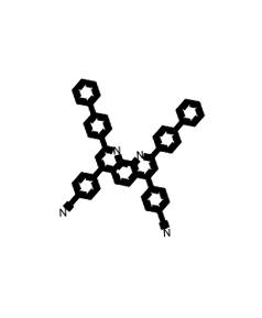 N#Cc1ccc(-c2cc(-c3ccc(-c4ccccc4)cc3)nc3c2ccc2c(-c4ccc(C#N)cc4)cc(-c4ccc(-c5ccccc5)cc4)nc23)cc1